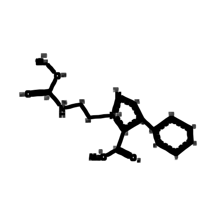 COC(=O)c1c(-c2ccccc2)cnn1CCNC(=O)OC(C)(C)C